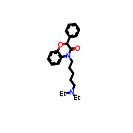 CCN(CC)CCCCCN1C(=O)C(c2ccccc2)Oc2ccccc21